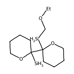 CCOC[SiH2]C1(C2([SiH3])CCCCO2)CCCCO1